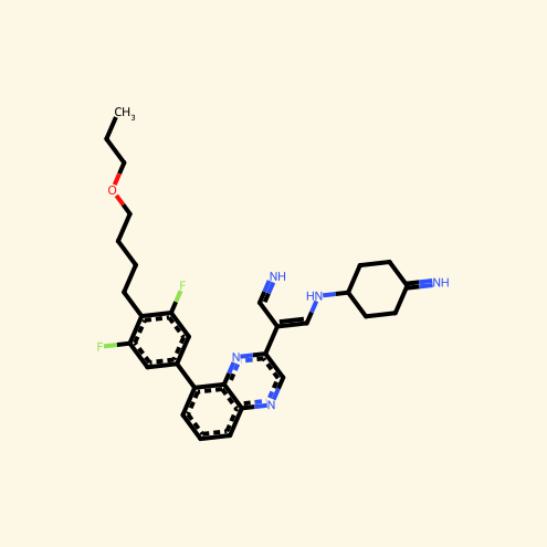 CCCOCCCCc1c(F)cc(-c2cccc3ncc(/C(C=N)=C/NC4CCC(=N)CC4)nc23)cc1F